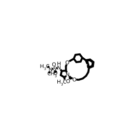 CC1CC(NS(=O)(=O)N(C)C)C2COC3CCC(CC3)c3cccc(c3)CCCCOC(=O)N12